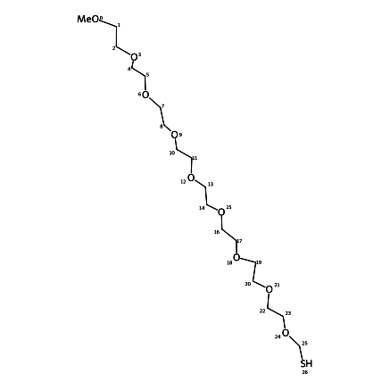 COCCOCCOCCOCCOCCOCCOCCOCCOCS